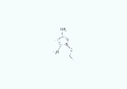 CCOc1cc(N)[nH]c1N